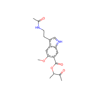 COc1cc2c(CCNC(C)=O)c[nH]c2cc1C(=O)OC(C)C(C)=O